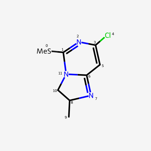 CSC1=NC(Cl)=CC2=NC(C)CN21